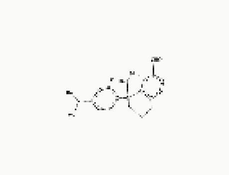 CCCCC(O)c1ccc([N+]2(C(N)=O)CCCc3ccc(C=O)nc32)nc1